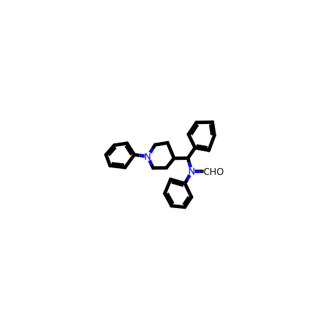 O=CN(c1ccccc1)C(c1ccccc1)C1CCN(c2ccccc2)CC1